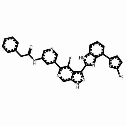 CC(=O)c1ccc(-c2cccc3[nH]c(-c4n[nH]c5cnc(-c6cncc(NC(=O)Cc7ccccc7)c6)c(F)c45)nc23)s1